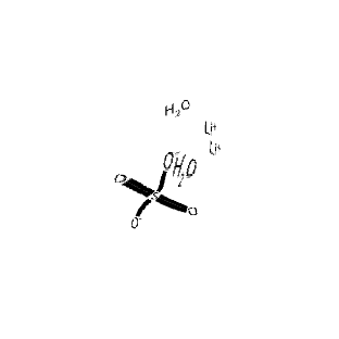 O.O.O=S(=O)([O-])[O-].[Li+].[Li+]